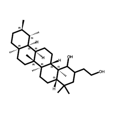 C[C@@H]1[C@H]2[C@H]3CC[C@@H]4[C@@]5(C)C(O)C(CCO)CC(C)(C)[C@@H]5CC[C@@]4(C)[C@]3(C)CC[C@@]2(C)CC[C@H]1C